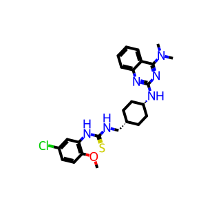 COc1ccc(Cl)cc1NC(=S)NC[C@H]1CC[C@@H](Nc2nc(N(C)C)c3ccccc3n2)CC1